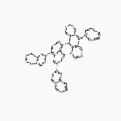 c1ccc(-c2c3ccccc3c(-c3ccc(-c4ccc5ccccc5c4)c4cc(-c5ccc6ccccc6c5)ccc34)c3ccccc23)cc1